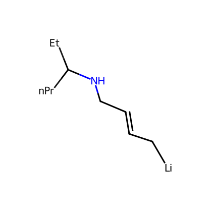 [Li][CH2]C=CCNC(CC)CCC